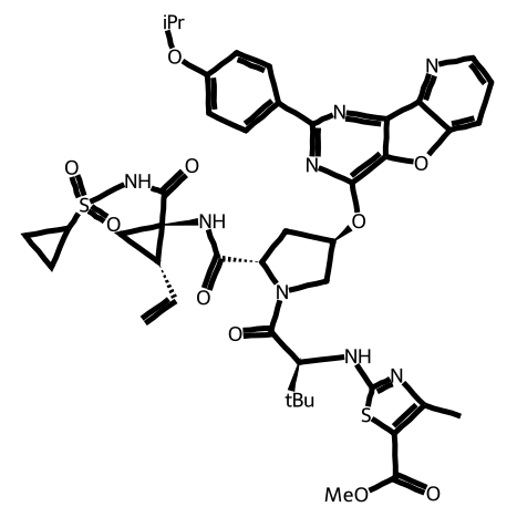 C=C[C@@H]1C[C@]1(NC(=O)[C@@H]1C[C@@H](Oc2nc(-c3ccc(OC(C)C)cc3)nc3c2oc2cccnc23)CN1C(=O)[C@@H](Nc1nc(C)c(C(=O)OC)s1)C(C)(C)C)C(=O)NS(=O)(=O)C1CC1